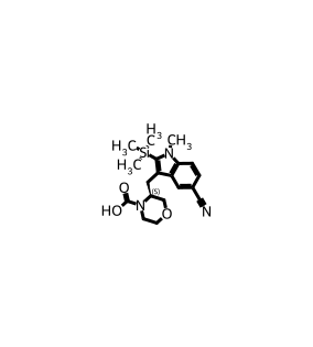 Cn1c([Si](C)(C)C)c(C[C@H]2COCCN2C(=O)O)c2cc(C#N)ccc21